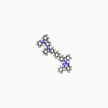 c1ccc(-c2nc(-n3c4ccccc4c4cc(-c5ccc(-c6ccc7c(c6)c6ccccc6n7-c6ccc7c8ccccc8n(-c8ccccc8)c7c6)cc5)ccc43)nc3ccccc23)cc1